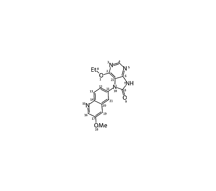 CCOc1ncnc2[nH]c(=O)n(-c3ccc4ncc(OC)cc4c3)c12